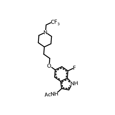 CC(=O)Nc1c[nH]c2c(F)cc(OCCC3CCN(CC(F)(F)F)CC3)cc12